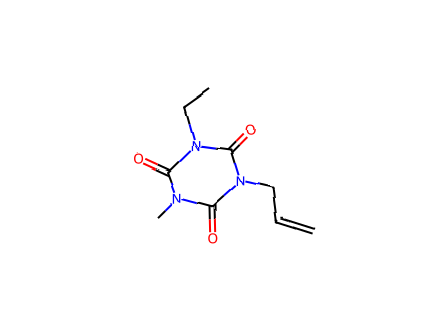 C=CCn1c(=O)n(C)c(=O)n(CC)c1=O